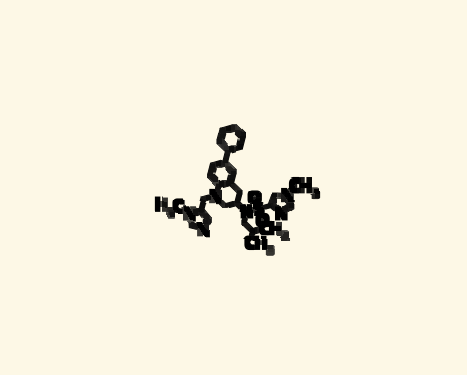 C=C(C)CN(C1Cc2cc(-c3ccccc3)ccc2N(Cc2cncn2C)C1)S(=O)(=O)c1cn(C)cn1